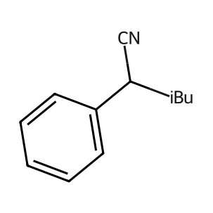 CCC(C)C(C#N)c1ccccc1